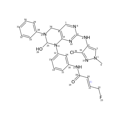 Cn1cc(Nc2ncc3c(n2)N(c2cccc(NC(=O)/C=C/CF)c2)C(O)N(c2ccccc2)C3)c(Cl)n1